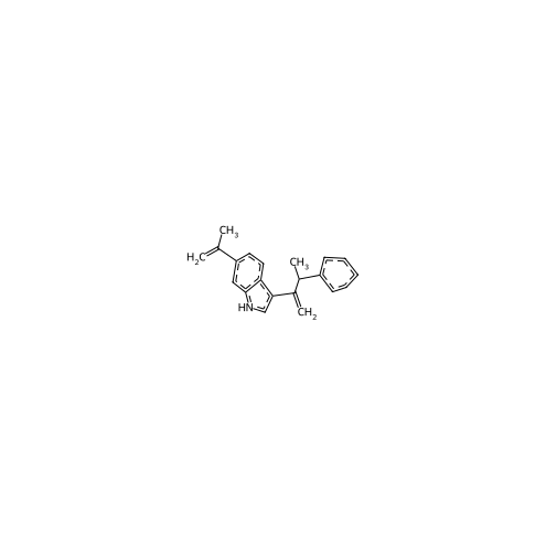 C=C(C)c1ccc2c(C(=C)C(C)c3ccccc3)c[nH]c2c1